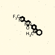 Cn1c2c(c3ccc(-n4ccc(-c5ccc(C(F)(F)F)nc5)nc4=O)cc31)CCCCC2